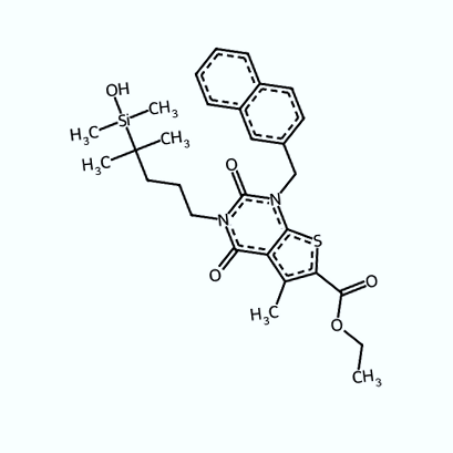 CCOC(=O)c1sc2c(c1C)c(=O)n(CCCC(C)(C)[Si](C)(C)O)c(=O)n2Cc1ccc2ccccc2c1